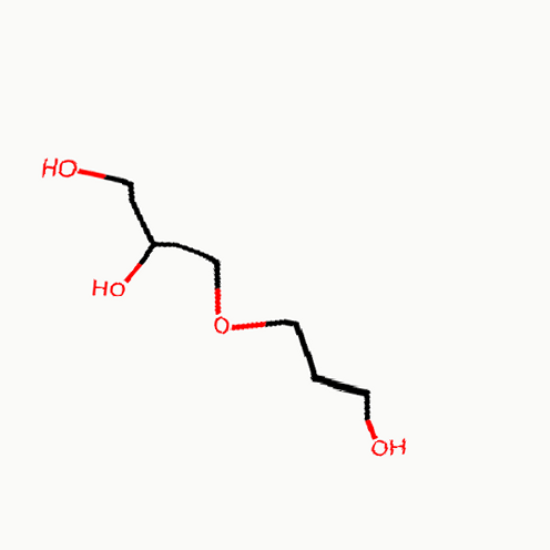 OCCCOCC(O)CO